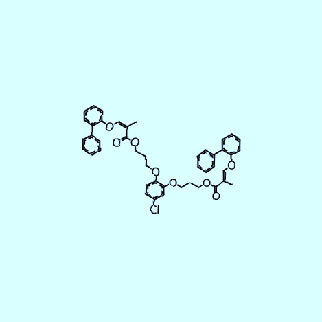 CC(=COc1ccccc1-c1ccccc1)C(=O)OCCCOc1ccc(Cl)cc1OCCCOC(=O)C(C)=COc1ccccc1-c1ccccc1